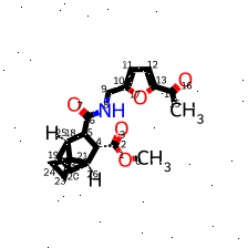 COC(=O)[C@H]1C(C(=O)NCc2ccc(C(C)=O)o2)[C@@H]2CC[C@H]1C21CC1